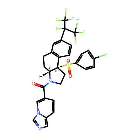 O=C(c1ccc2cncn2c1)N1CC[C@@]2(S(=O)(=O)c3ccc(F)cc3)c3ccc(C(F)(C(F)(F)F)C(F)(F)F)cc3CC[C@@H]12